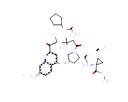 C=C[C@@H]1C[C@]1(NC(=O)[C@@H]1C[C@@H](Oc2cc(C(=O)CBr)nc3cc(OC)ccc23)CN1C(=O)[C@@H](NC(=O)OC1CCCC1)C(C)(C)C)C(=O)OC